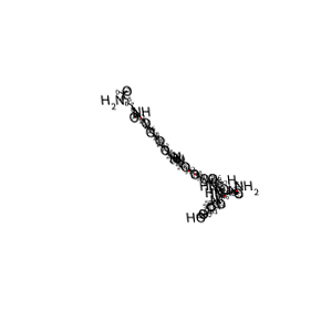 CC(=O)[C@H](N)CCCCNC(=O)CCOCCOCCOCCOCCn1cc(COCCOCCOCC(=O)N[C@H](C(=O)N[C@@H](CCCNC(N)=O)C(=O)Nc2ccc(COO)cc2)C(C)C)nn1